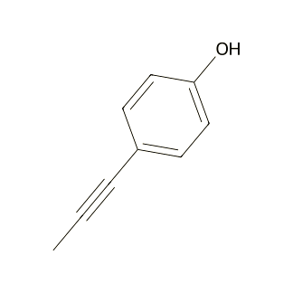 CC#Cc1ccc(O)cc1